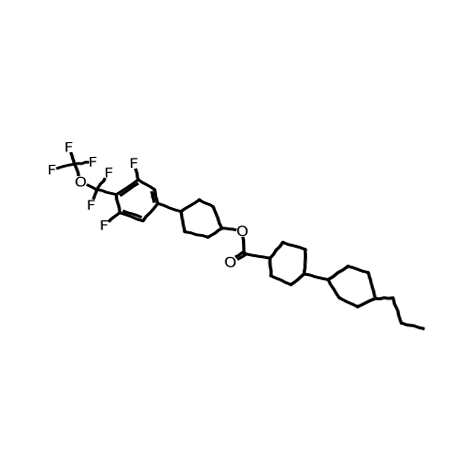 CCCC1CCC(C2CCC(C(=O)OC3CCC(c4cc(F)c(C(F)(F)OC(F)(F)F)c(F)c4)CC3)CC2)CC1